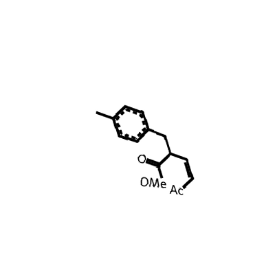 COC(=O)C(/C=C\C(C)=O)Cc1ccc(C)cc1